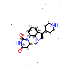 Cn1cc(C2CCNCC2)c2cccc(N3CCC(=O)NC3=O)c21